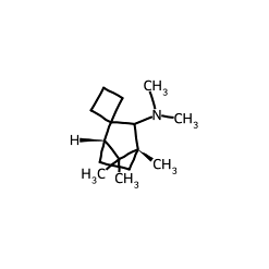 CN(C)C1C2(CCC2)[C@H]2CC[C@]1(C)C2(C)C